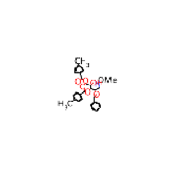 CO/N=C/[C@H](OCc1ccccc1)[C@@H](OC(=O)c1ccc(C)cc1)[C@H](O)COC(=O)c1ccc(C)cc1